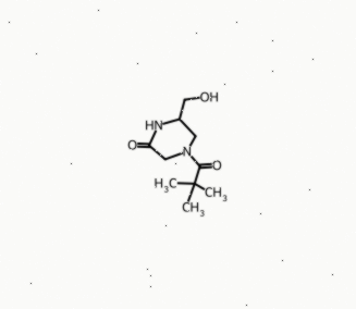 CC(C)(C)C(=O)N1CC(=O)NC(CO)C1